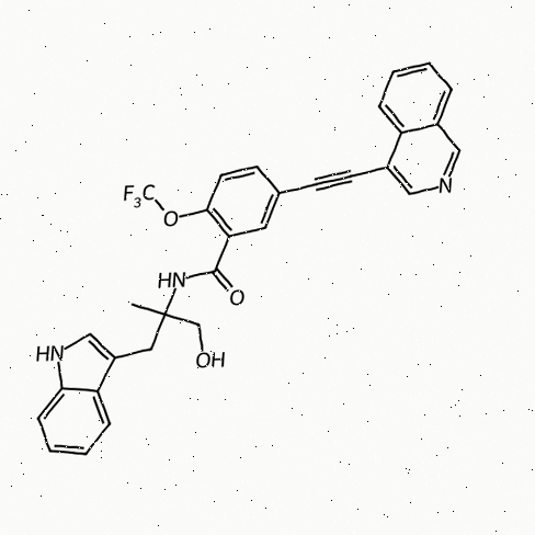 CC(CO)(Cc1c[nH]c2ccccc12)NC(=O)c1cc(C#Cc2cncc3ccccc23)ccc1OC(F)(F)F